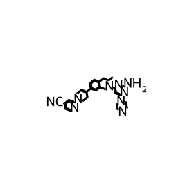 CC1Cc2ccc(C3=CCN(c4cc(C#N)ccn4)CC3)cc2CN1c1cc(N2CCN(C)CC2)nc(N)n1